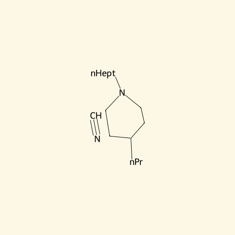 C#N.CCCCCCCN1CCC(CCC)CC1